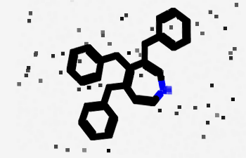 [C]1=C(Cc2ccccc2)C(Cc2ccccc2)=C(Cc2ccccc2)C=CN1